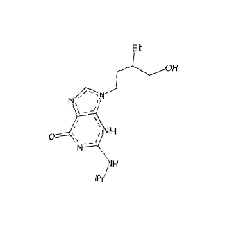 CCC(CO)CCn1cnc2c(=O)nc(NC(C)C)[nH]c21